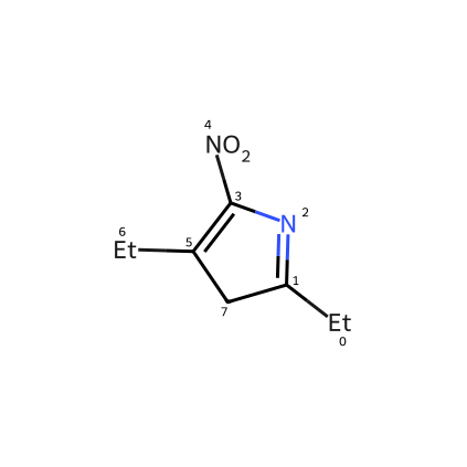 CCC1=NC([N+](=O)[O-])=C(CC)C1